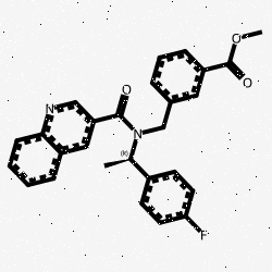 COC(=O)c1cccc(CN(C(=O)c2cnc3ccccc3c2)[C@H](C)c2ccc(F)cc2)c1